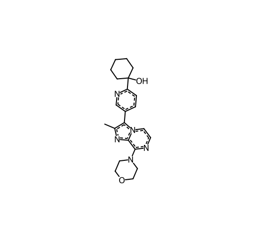 Cc1nc2c(N3CCOCC3)nccn2c1-c1ccc(C2(O)CCCCC2)nc1